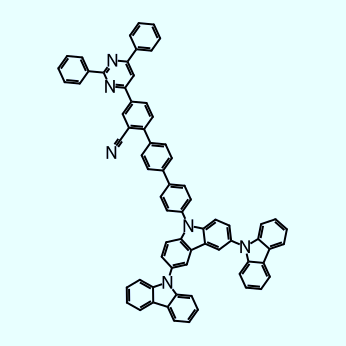 N#Cc1cc(-c2cc(-c3ccccc3)nc(-c3ccccc3)n2)ccc1-c1ccc(-c2ccc(-n3c4ccc(-n5c6ccccc6c6ccccc65)cc4c4cc(-n5c6ccccc6c6ccccc65)ccc43)cc2)cc1